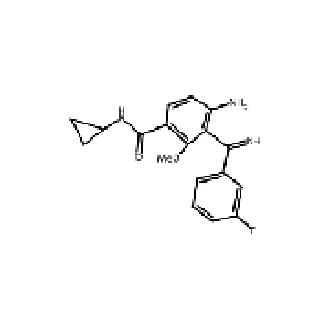 COc1c(C(=O)NC2CC2)ccc(N)c1C(=N)c1cccc(F)c1